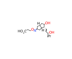 CC(C)C(O)C=C[C@@H]1[C@@H]2C/C(=N/OCCC(=O)O)C[C@H]2C[C@H]1O